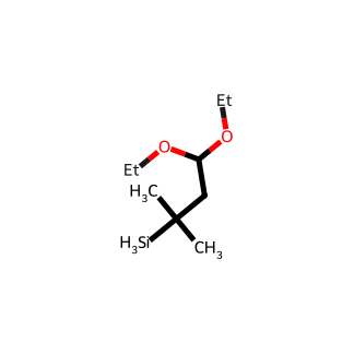 CCOC(CC(C)(C)[SiH3])OCC